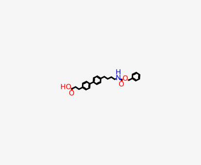 O=C(O)CCc1ccc(-c2ccc(CCCCNC(=O)OCc3ccccc3)cc2)cc1